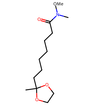 CON(C)C(=O)CCCCCCC1(C)OCCO1